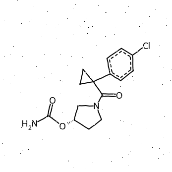 NC(=O)O[C@H]1CCN(C(=O)C2(c3ccc(Cl)cc3)CC2)C1